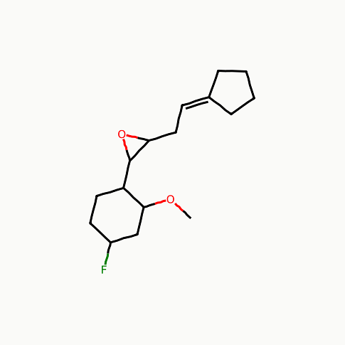 COC1CC(F)CCC1C1OC1CC=C1CCCC1